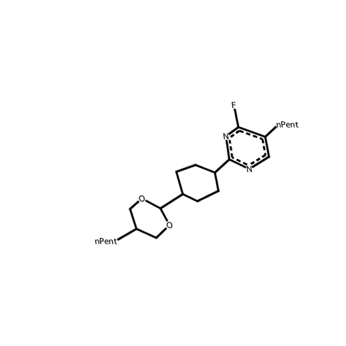 CCCCCc1cnc(C2CCC(C3OCC(CCCCC)CO3)CC2)nc1F